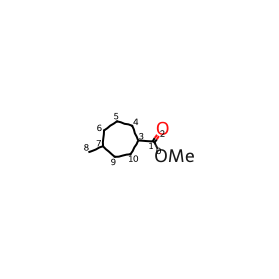 COC(=O)C1CCCC(C)CC1